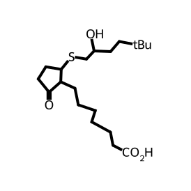 CC(C)(C)CCC(O)CSC1CCC(=O)C1CCCCCCC(=O)O